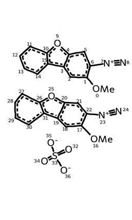 COc1cc2c(cc1[N+]#N)oc1ccccc12.COc1cc2c(cc1[N+]#N)oc1ccccc12.O=S(=O)([O-])[O-]